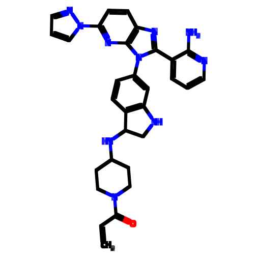 C=CC(=O)N1CCC(NC2CNc3cc(-n4c(-c5cccnc5N)nc5ccc(-n6cccn6)nc54)ccc32)CC1